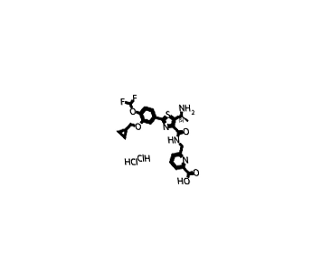 C[C@H](N)c1sc(-c2ccc(OC(F)F)c(OCC3CC3)c2)nc1C(=O)NCc1cccc(C(=O)O)n1.Cl.Cl